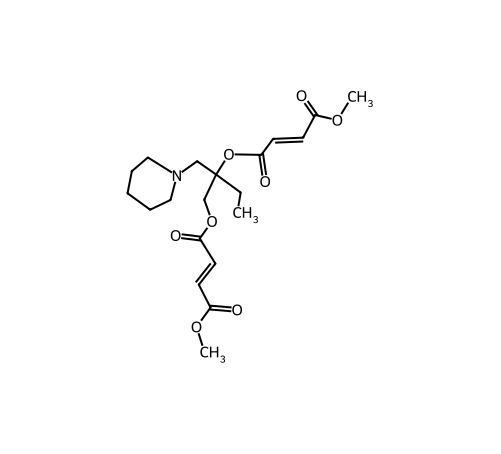 CCC(COC(=O)/C=C/C(=O)OC)(CN1CCCCC1)OC(=O)/C=C/C(=O)OC